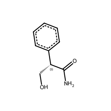 NC(=O)[C@H](CO)c1ccccc1